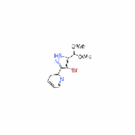 COC(OC)c1[nH]nc(-c2ccccn2)c1Br